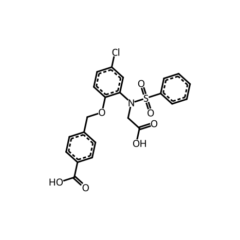 O=C(O)CN(c1cc(Cl)ccc1OCc1ccc(C(=O)O)cc1)S(=O)(=O)c1ccccc1